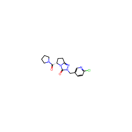 O=C([C@@H]1CCc2nn(Cc3ccc(Cl)nc3)c(=O)n21)N1CCCC1